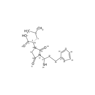 CC(C)C[C@@H](C(=O)O)N1CC(=O)N(C(S)CCc2ccccc2)C1=O